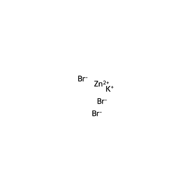 [Br-].[Br-].[Br-].[K+].[Zn+2]